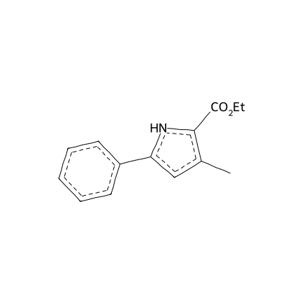 CCOC(=O)c1[nH]c(-c2ccccc2)cc1C